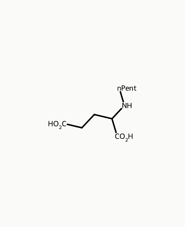 CCCCCNC(CCC(=O)O)C(=O)O